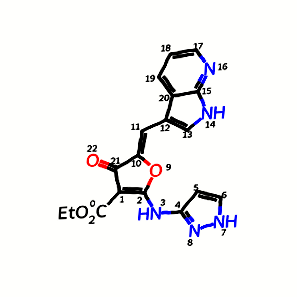 CCOC(=O)C1=C(Nc2cc[nH]n2)OC(=Cc2c[nH]c3ncccc23)C1=O